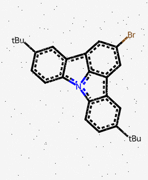 CC(C)(C)c1ccc2c(c1)c1cc(Br)cc3c4cc(C(C)(C)C)ccc4n2c13